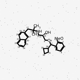 COc1ccccc1C(OC[C@H](O)CNC(C)(C)Cc1ccc2ccccc2c1)C1CCC1